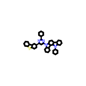 c1ccc(-c2nc(-c3ccc4sc5ccccc5c4c3)cc(-n3c4ccccc4c4c3ccc3c5ccccc5n(-c5ccccc5)c34)n2)cc1